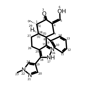 C[C@@H]1C(=O)C(=CO)C[C@]2(c3ccccc3)c3n[nH]c(-c4cnn(C)c4)c3CC[C@@H]12